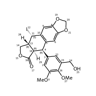 COc1cc([C@@H]2c3cc4c(cc3[C@@H](I)[C@H]3COC(=O)[C@H]23)OCO4)cc(CO)c1OC